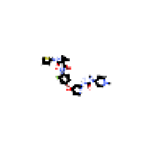 CN1CCC(N(C)C(=O)Nc2cc(Oc3ccc(NC(=O)C4(C(=O)Nc5cccs5)CC4)c(F)c3)ccn2)CC1